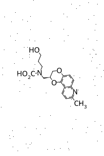 Cc1ccc2c3c(ccc2n1)OC[C@H](CN(CCCO)C(=O)O)O3